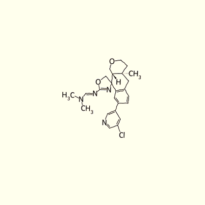 CN(C)/C=N/C1=NC2(CO1)c1cc(-c3cncc(Cl)c3)ccc1C[C@]1(C)CCOC[C@@H]21